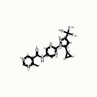 Cc1ncncc1C(=O)Nc1cnc(-n2nc(C(F)(F)F)cc2C2CC2)nc1